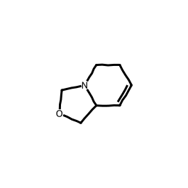 C1=CC2COCN2CC1